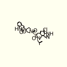 C=C(C)CN1Cc2c(cc(Cl)c3[nH]ncc23)C[C@@H](CC(=O)N2CCC(C3=Cc4ccccc4NS3(=O)=O)CC2)C1=O